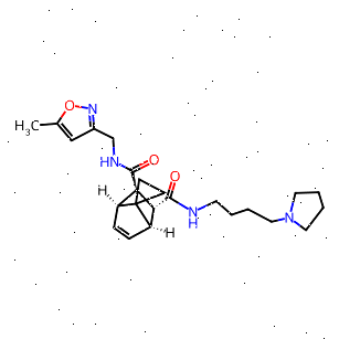 Cc1cc(CNC(=O)[C@H]2[C@H](C(=O)NCCCCN3CCCC3)[C@H]3C=C[C@@H]2C32CC2)no1